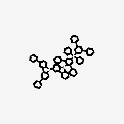 c1ccc(-c2cc(-c3ccccc3)cc(S(c3ccccc3)(c3ccccc3)c3cc(-c4ccccc4)c(-n4c5ccccc5c5cc(-n6c7ccc(-c8ccccc8)cc7c7cc(-c8ccccc8)ccc76)ccc54)c(-c4ccccc4)c3)c2)cc1